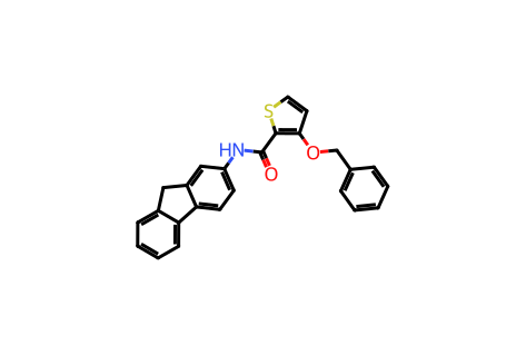 O=C(Nc1ccc2c(c1)Cc1ccccc1-2)c1sccc1OCc1ccccc1